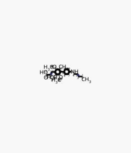 CC/C=C/CNc1ccc(-c2c(C)c(OC)c(/C=C(\C)C(=O)O)c(C)c2OC)cc1